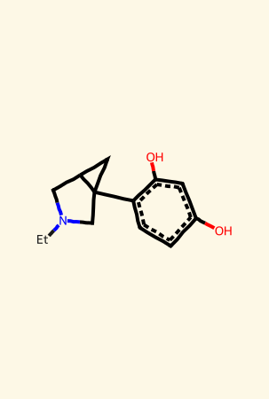 CCN1CC2CC2(c2ccc(O)cc2O)C1